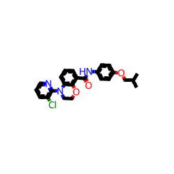 CC(C)COc1ccc(NC(=O)c2cccc3c2OCCN3c2ncccc2Cl)cc1